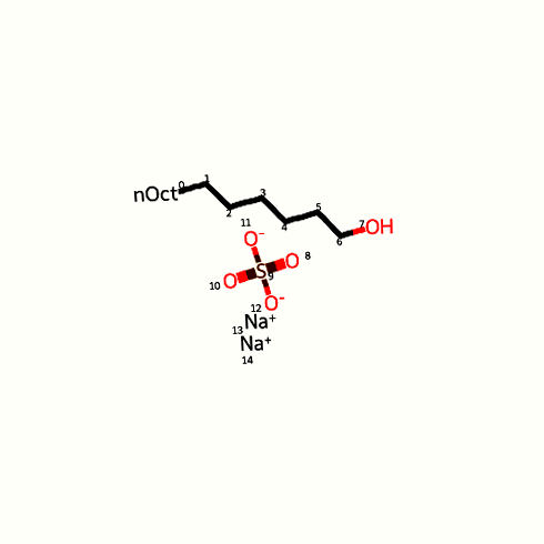 CCCCCCCCCCCCCCO.O=S(=O)([O-])[O-].[Na+].[Na+]